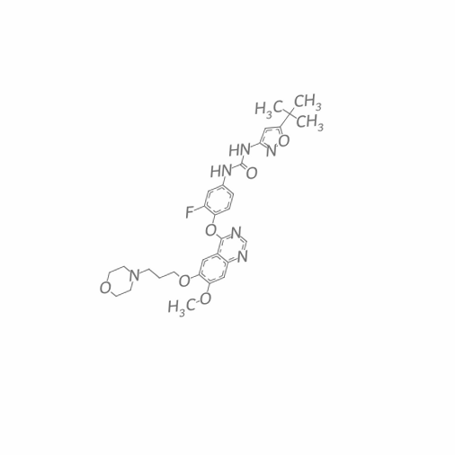 COc1cc2ncnc(Oc3ccc(NC(=O)Nc4cc(C(C)(C)C)on4)cc3F)c2cc1OCCCN1CCOCC1